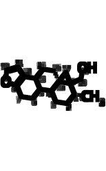 C[C@@H]1CCC2C3CCc4occc4C3CC[C@@]23CC13CO